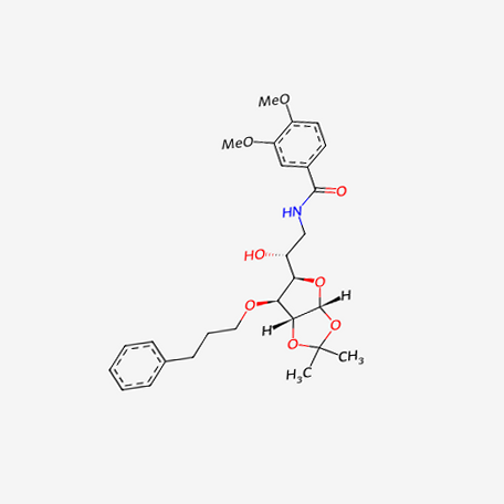 COc1ccc(C(=O)NC[C@@H](O)[C@H]2O[C@@H]3OC(C)(C)O[C@@H]3[C@H]2OCCCc2ccccc2)cc1OC